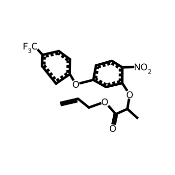 C=CCOC(=O)C(C)Oc1cc(Oc2ccc(C(F)(F)F)cc2)ccc1[N+](=O)[O-]